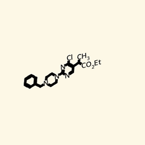 CCOC(=O)C(C)c1cnc(N2CCN(Cc3ccccc3)CC2)nc1Cl